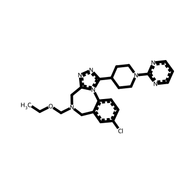 CCOCN1Cc2cc(Cl)ccc2-n2c(nnc2C2CCN(c3ncccn3)CC2)C1